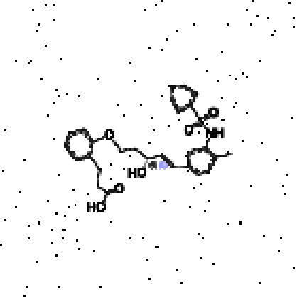 Cc1ccc(/C=C/[C@H](O)CCOc2ccccc2CCC(=O)O)cc1NS(=O)(=O)c1ccccc1